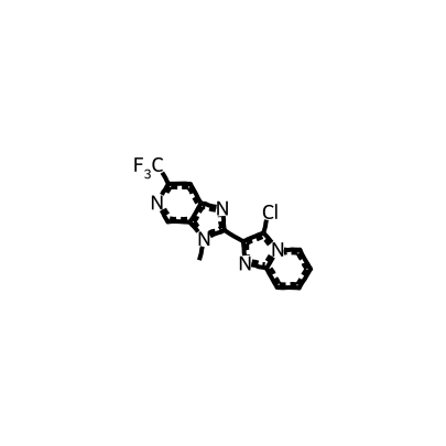 Cn1c(-c2nc3ccccn3c2Cl)nc2cc(C(F)(F)F)ncc21